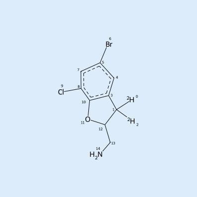 [2H]C1([2H])c2cc(Br)cc(Cl)c2OC1CN